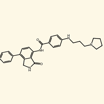 O=C(Nc1ccc(-c2ccccc2)c2c1C(=O)NC2)c1ccc(NCCCN2CCCC2)cc1